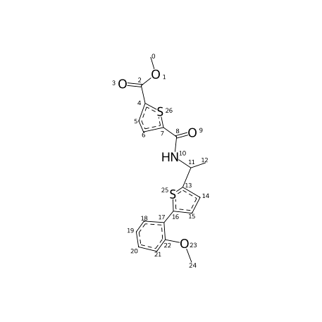 COC(=O)c1ccc(C(=O)NC(C)c2ccc(-c3ccccc3OC)s2)s1